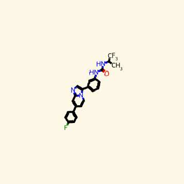 CC(NC(=O)Nc1cccc(-c2cnc3cc(-c4ccc(F)cc4)ccn23)c1)C(F)(F)F